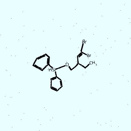 CCC(C=C(Br)Br)CO[SiH](c1ccccc1)c1ccccc1